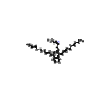 CC/C=C\CCOC(C=CCCCCCCCC)c1ccccc1C(C)C=CCCCCCCCC